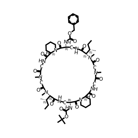 CC[C@H](C)[C@H]1C(=O)NC[C@@H](NC(=O)OC(C)(C)C)C(=O)N2CCCC[C@H]2C(=O)NCC(=O)N(C)CC(=O)N(C)[C@@H]([C@@H](C)CC)C(=O)NC[C@@H](NC(=O)OCc2ccccc2)C(=O)N2CCCC[C@H]2C(=O)NCC(=O)N(C)CC(=O)N1C